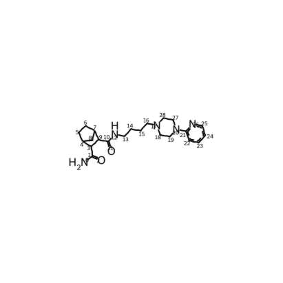 NC(=O)C1C2CCC(C2)C1C(=O)NCCCCN1CCN(c2ccccn2)CC1